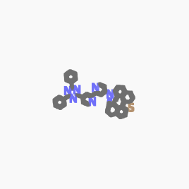 C1=CC2Sc3ccc4c5c3c2c2c1ccc1c2c5c(n1-c1ccnc(-c2cc(-c3nc(-c5ccccc5)nc(-c5ccccc5)n3)ccn2)c1)=CC4